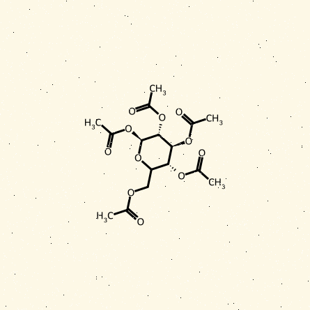 CC(=O)OCC1O[C@@H](OC(C)=O)[C@H](OC(C)=O)[C@@H](OC(C)=O)[C@@H]1OC(C)=O